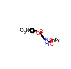 CCCOC(=O)CNCC#CC(=O)OCc1ccc([N+](=O)[O-])cc1